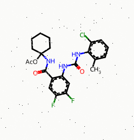 CC(=O)OC1(NC(=O)c2cc(F)c(F)cc2NC(=O)Nc2c(C)cccc2Cl)CCCCC1